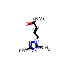 CCCc1nc(C)n(C/C=C/C(=O)NC)n1